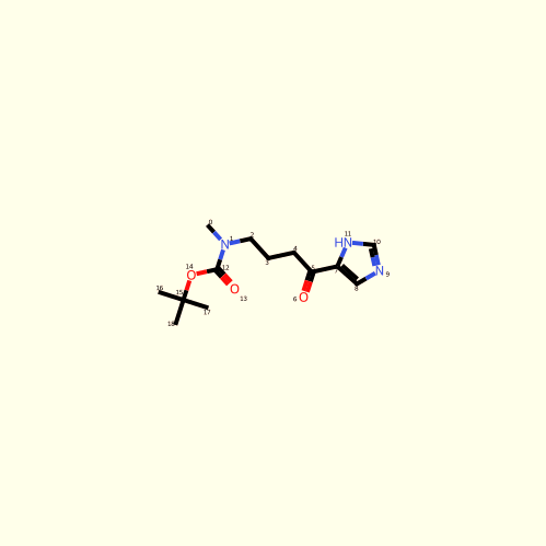 CN(CCCC(=O)c1cnc[nH]1)C(=O)OC(C)(C)C